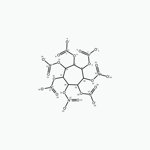 O=[N+]([O-])OC1C(O[N+](=O)[O-])C(O[N+](=O)[O-])C(O[N+](=O)[O-])C(O[N+](=O)[O-])C(O[N+](=O)[O-])C1O[N+](=O)[O-]